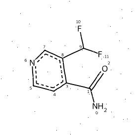 NC(=O)c1ccncc1C(F)F